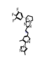 Cc1cn(-c2ncc(/C=C/c3nc4n(n3)CCC[C@H]4c3cc(F)c(F)c(F)c3)cc2C)cn1